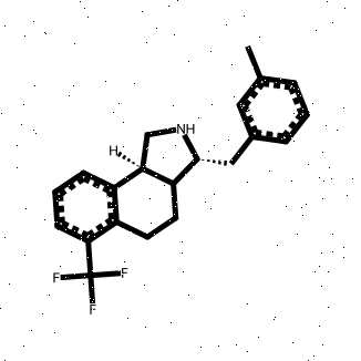 Cc1cccc(C[C@H]2NC[C@@H]3c4cccc(C(F)(F)F)c4CCC32)c1